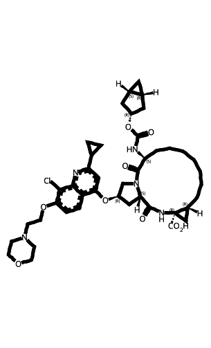 O=C(N[C@H]1CCCCCCC[C@@H]2C[C@@]2(C(=O)O)NC(=O)[C@@H]2C[C@@H](Oc3cc(C4CC4)nc4c(Cl)c(OCCN5CCOCC5)ccc34)CN2C1=O)O[C@@H]1C[C@@H]2C[C@@H]2C1